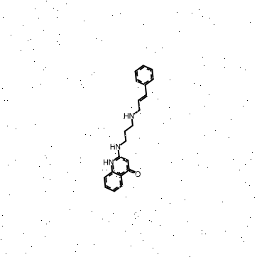 O=c1cc(NCCCNC/C=C/c2ccccc2)[nH]c2ccccc12